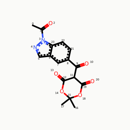 CC(=O)n1ncc2cc(C(=O)C3C(=O)OC(C)(C)OC3=O)ccc21